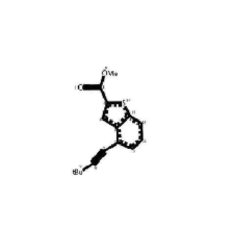 COC(=O)c1cc2c(C#CC(C)(C)C)cccc2s1